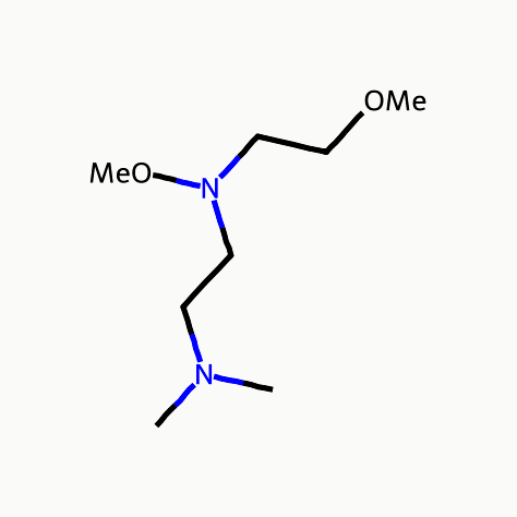 COCCN(CCN(C)C)OC